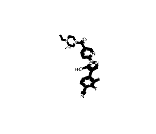 CCN1CCN(C(=O)c2ccc(-n3ncc(-c4ccc(C#N)c(F)c4C)c3O)nc2)C[C@@H]1C